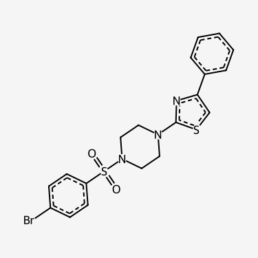 O=S(=O)(c1ccc(Br)cc1)N1CCN(c2nc(-c3ccccc3)cs2)CC1